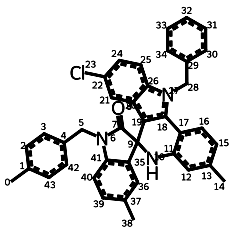 Cc1ccc(CN2C(=O)C3(Nc4cc(C)ccc4-c4c3c3cc(Cl)ccc3n4Cc3ccccc3)c3cc(C)ccc32)cc1